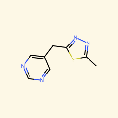 Cc1nnc(Cc2cncnc2)s1